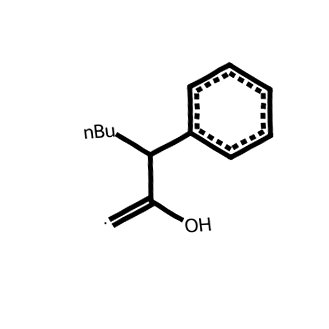 [CH]=C(O)C(CCCC)c1ccccc1